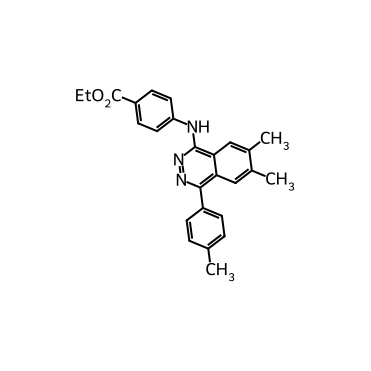 CCOC(=O)c1ccc(Nc2nnc(-c3ccc(C)cc3)c3cc(C)c(C)cc23)cc1